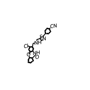 N#Cc1ccc(C2=NCC(CNCc3cc4c(cc3Cl)Oc3ccccc3C(=O)N4)S2)cc1